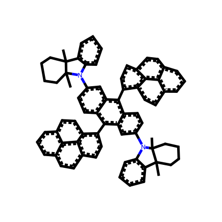 CC12CCCCC1(C)N(c1ccc3c(-c4ccc5ccc6cccc7ccc4c5c67)c4cc(N5c6ccccc6C6(C)CCCCC56C)ccc4c(-c4ccc5ccc6cccc7ccc4c5c67)c3c1)c1ccccc12